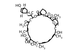 CO[C@H]1C(=O)[C@H](C)C[C@H](C)/C=C/C=C/C=C(\C)[C@@H](O)C[C@@H]2CC[C@@H](C)[C@@](O)(O2)C(=O)C(=O)N2CCCC[C@H]2C(=O)O[C@H]([C@H](C)C[C@H]2C[C@H]3C[C@@H]2C[C@@H]3O)CC(=O)[C@H](C)/C=C(\C)[C@H]1O